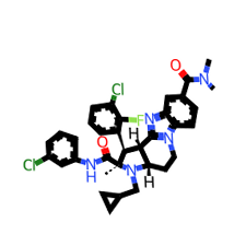 CN(C)C(=O)c1ccc2c(c1)nc1n2CC[C@H]2[C@@H]1[C@H](c1cccc(Cl)c1F)[C@](C)(C(=O)Nc1cccc(Cl)c1)N2CC1CC1